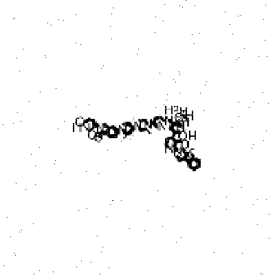 [2H]C([2H])([2H])Oc1ncc(-c2ccnc(N3CCc4c(sc5c4CCCC5)C3=O)c2CO)cc1Nc1ccc(N2CCN(C3CCN(c4ccc5c(c4)CN([C@H]4CCC(=O)NC4=O)C5=O)[C@H](C)C3)C[C@@H]2C)cn1